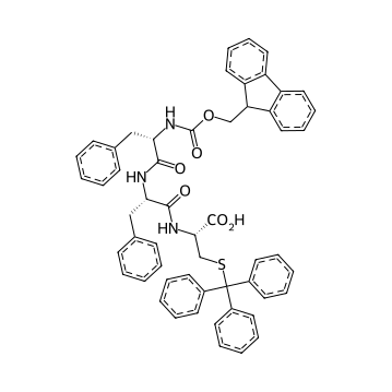 O=C(N[C@@H](Cc1ccccc1)C(=O)N[C@@H](Cc1ccccc1)C(=O)N[C@@H](CSC(c1ccccc1)(c1ccccc1)c1ccccc1)C(=O)O)OCC1c2ccccc2-c2ccccc21